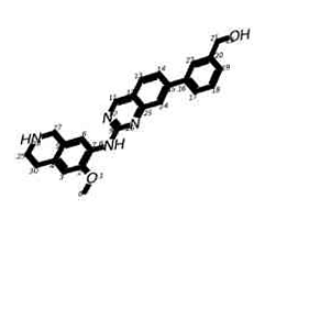 COc1cc2c(cc1Nc1ncc3ccc(-c4cccc(CO)c4)cc3n1)CNCC2